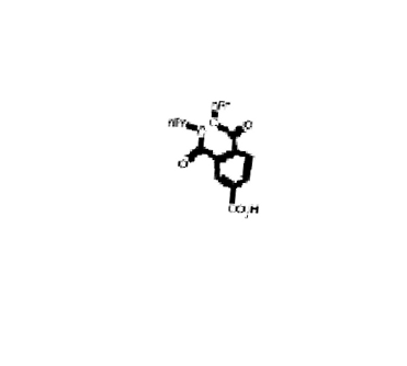 CCCOC(=O)c1ccc(C(=O)O)cc1C(=O)OCCC